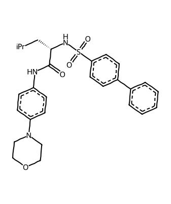 CC(C)C[C@H](NS(=O)(=O)c1ccc(-c2ccccc2)cc1)C(=O)Nc1ccc(N2CCOCC2)cc1